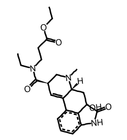 CCOC(=O)CCN(CC)C(=O)[C@@H]1C=C2c3cccc4c3C(O)(C[C@H]2N(C)C1)C(=O)N4